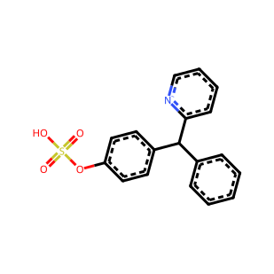 O=S(=O)(O)Oc1ccc(C(c2ccccc2)c2ccccn2)cc1